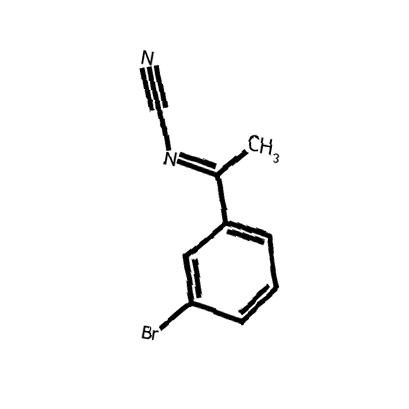 CC(=NC#N)c1cccc(Br)c1